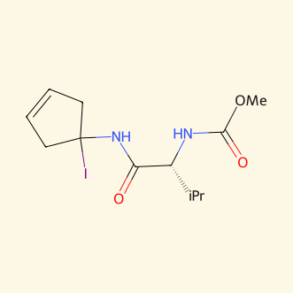 COC(=O)N[C@@H](C(=O)NC1(I)CC=CC1)C(C)C